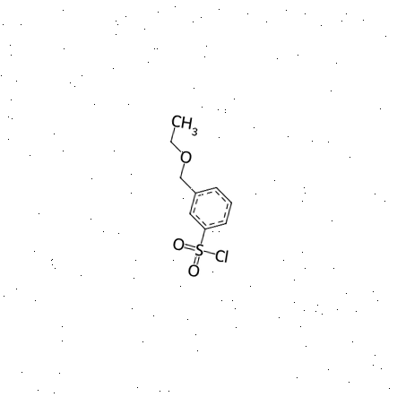 CCOCc1cccc(S(=O)(=O)Cl)c1